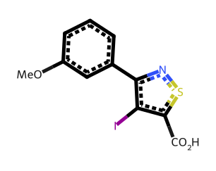 COc1cccc(-c2nsc(C(=O)O)c2I)c1